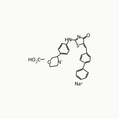 CC(=O)O.O=C1N=C(Nc2ccc(C3COCC[N-]3)cc2)SC1=Cc1ccc(-c2ccccc2)cc1.[Na+]